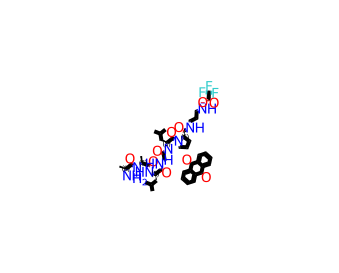 CC(C)C[C@H](NC(=O)[C@H](C)NC(=O)[C@H](C)N)C(=O)NCC(=O)N[C@@H](CC(C)C)C(=O)N1CCC[C@H]1C(=O)NCCCNOC(=O)C(F)(F)F.O=C1c2ccccc2C(=O)c2ccccc21